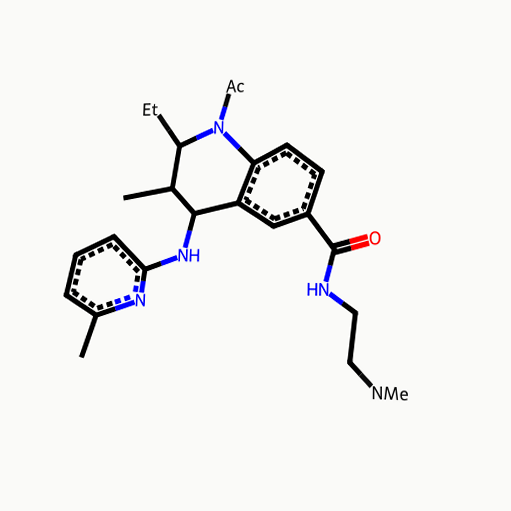 CCC1C(C)C(Nc2cccc(C)n2)c2cc(C(=O)NCCNC)ccc2N1C(C)=O